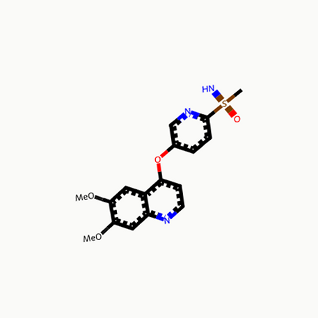 COc1cc2nccc(Oc3ccc(S(C)(=N)=O)nc3)c2cc1OC